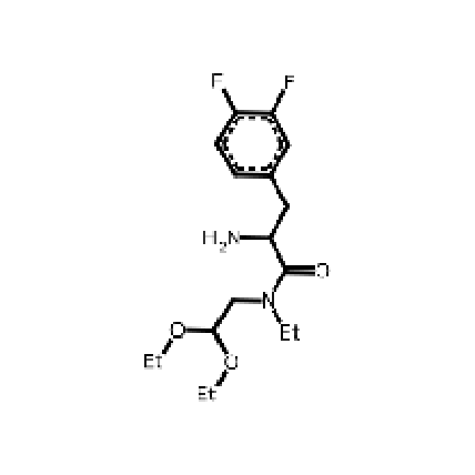 CCOC(CN(CC)C(=O)C(N)Cc1ccc(F)c(F)c1)OCC